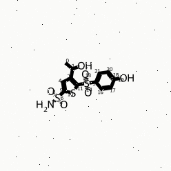 CC(O)c1cc(S(N)(=O)=O)sc1S(=O)(=O)c1ccc(O)cc1